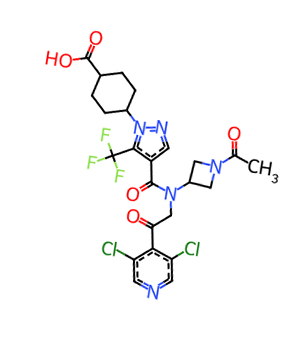 CC(=O)N1CC(N(CC(=O)c2c(Cl)cncc2Cl)C(=O)c2cnn(C3CCC(C(=O)O)CC3)c2C(F)(F)F)C1